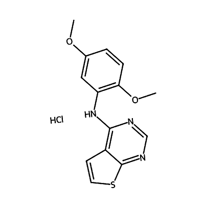 COc1ccc(OC)c(Nc2ncnc3sccc23)c1.Cl